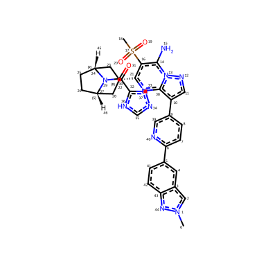 Cn1cc2cc(-c3ccc(-c4cnn5c(N)c(S(C)(=O)=O)c([C@H]6C[C@H]7CC[C@@H](C6)N7C(=O)c6nnc[nH]6)nc45)cn3)ccc2n1